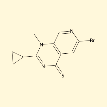 Cn1c(C2CC2)nc(=S)c2cc(Br)ncc21